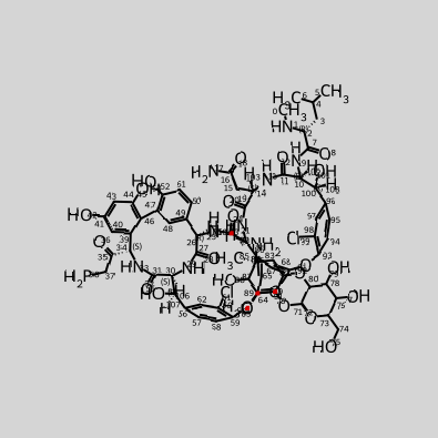 CN[C@H](CC(C)C)C(=O)N[C@H]1C(=O)N[C@@H](CC(N)=O)C(=O)N[C@H]2C(=O)N[C@H]3C(=O)N[C@H](C(=O)N[C@H](C(=O)CP)c4cc(O)cc(O)c4-c4cc3ccc4O)[C@H](O)c3ccc(c(Cl)c3)Oc3cc2cc(c3OC2OC(CO)C(O)C(O)C2OC2C[C@](C)(N)C(O)C(C)O2)Oc2ccc(cc2Cl)[C@H]1O